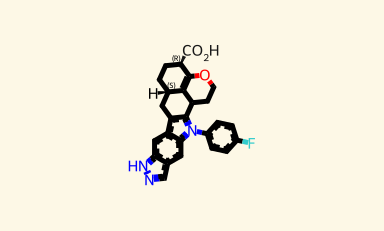 O=C(O)[C@@H]1CC[C@H]2Cc3c(n(-c4ccc(F)cc4)c4cc5cn[nH]c5cc34)C3CCOC1=C32